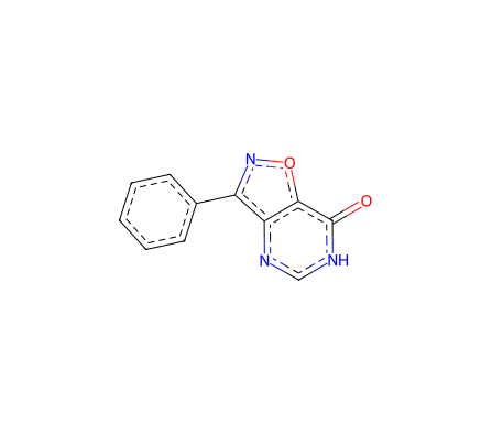 O=c1[nH]cnc2c(-c3ccccc3)noc12